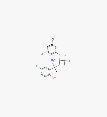 CC(C)(CC(N)(Cc1cc(Cl)cc(Cl)c1)C(F)(F)F)c1cc(F)ccc1O